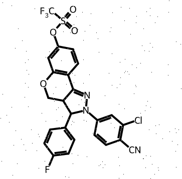 N#Cc1ccc(N2N=C3c4ccc(OS(=O)(=O)C(F)(F)F)cc4OCC3C2c2ccc(F)cc2)cc1Cl